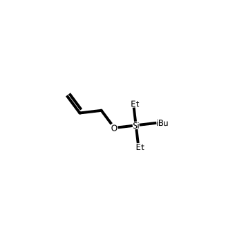 C=CCO[Si](CC)(CC)C(C)CC